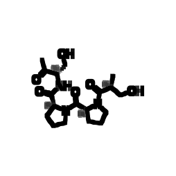 CC(=O)[C@H](CO)NC(=O)[C@@H]1CCCN1C(=O)[C@@H]1CCCN1C(=O)[C@@H](C)CO